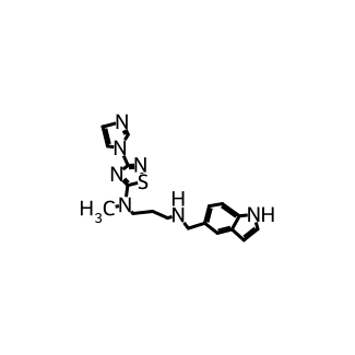 CN(CCCNCc1ccc2[nH]ccc2c1)c1nc(-n2ccnc2)ns1